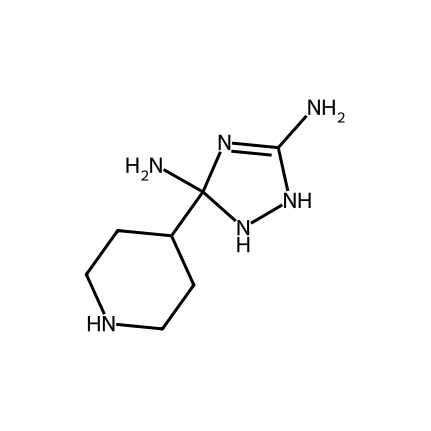 NC1=NC(N)(C2CCNCC2)NN1